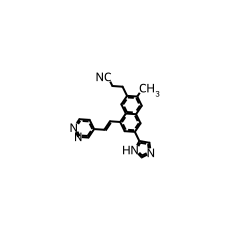 Cc1cc2cc(-c3cnc[nH]3)cc(/C=C/c3ccnnc3)c2cc1CCC#N